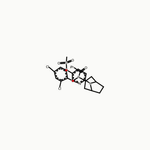 CC(C)C(=O)N(Oc1ccc(Cl)cc1Cl)C1CC2CCC(C1)N2c1ccc(NS(C)(=O)=O)cn1